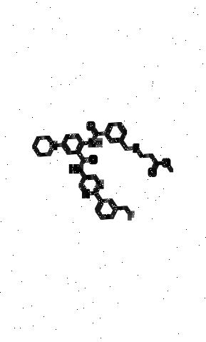 COC(=O)CCSCc1cccc(C(=O)Nc2ccc(N3CCCCC3)cc2C(=O)Nc2cnc(-c3cccc(CF)c3)nc2)c1